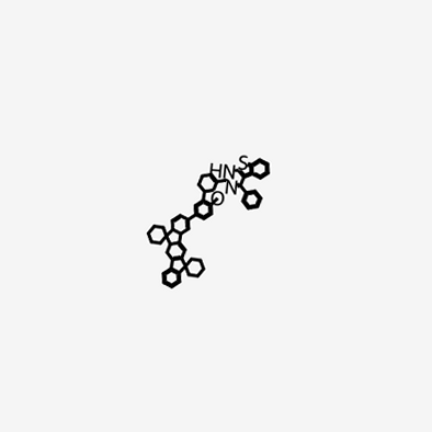 C1=CC2C(C=C1c1ccc3c(c1)C1CCC=C(C4N=C(c5ccccc5)c5c(sc6ccccc56)N4)C1O3)C1=CC3=C(CC1C21CCCCC1)c1ccccc1C31CCCCC1